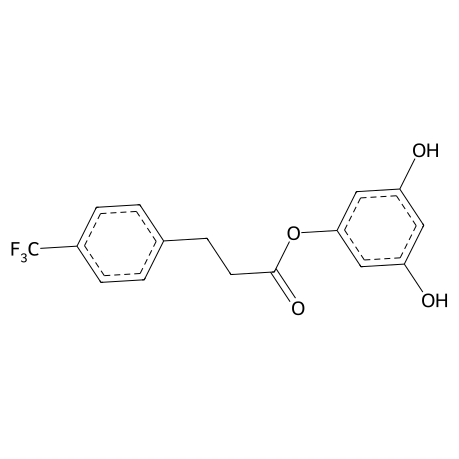 O=C(CCc1ccc(C(F)(F)F)cc1)Oc1cc(O)cc(O)c1